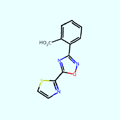 O=C(O)c1ccccc1-c1noc(-c2nccs2)n1